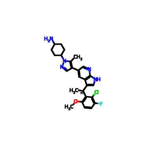 COc1ccc(F)c(Cl)c1[C@@H](C)c1c[nH]c2ncc(-c3cnn(C4CCC(N)CC4)c3C)cc12